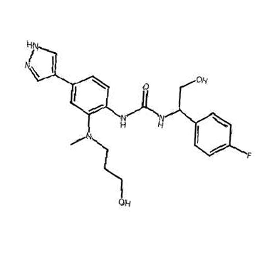 CN(CCCO)c1cc(-c2cn[nH]c2)ccc1NC(=O)NC(CO)c1ccc(F)cc1